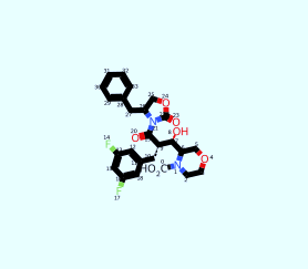 O=C(O)N1CCOCC1[C@@H](O)[C@H](Cc1cc(F)cc(F)c1)C(=O)N1C(=O)OCC1Cc1ccccc1